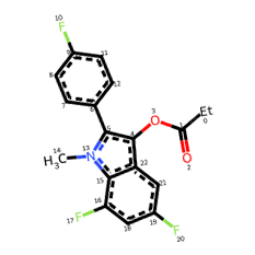 CCC(=O)Oc1c(-c2ccc(F)cc2)n(C)c2c(F)cc(F)cc12